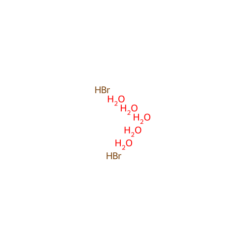 Br.Br.O.O.O.O.O